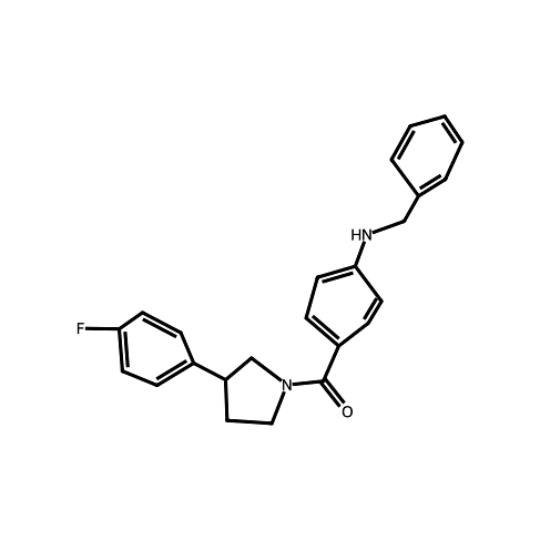 O=C(c1ccc(NCc2ccccc2)cc1)N1CCC(c2ccc(F)cc2)C1